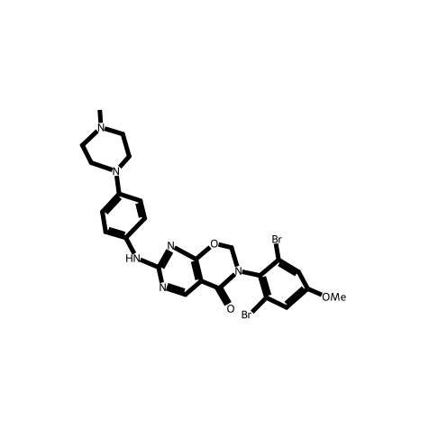 COc1cc(Br)c(N2COc3nc(Nc4ccc(N5CCN(C)CC5)cc4)ncc3C2=O)c(Br)c1